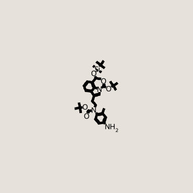 Cc1cc(N)ccc1N(CCc1cn(C(=O)OC(C)(C)C)c2c(C(C)O[Si](C)(C)C(C)(C)C)cccc12)C(=O)OC(C)(C)C